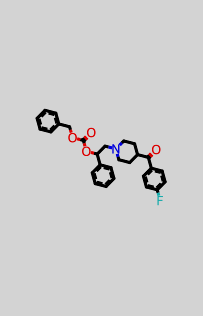 O=C(OCc1ccccc1)OC(CN1CCC(C(=O)c2ccc(F)cc2)CC1)c1ccccc1